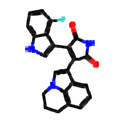 O=C1NC(=O)C(c2c[nH]c3cccc(F)c23)=C1c1cn2c3c(cccc13)CCC2